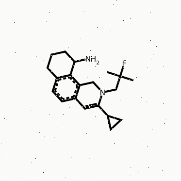 CC(C)(F)CN1Cc2c(ccc3c2C(N)CCC3)C=C1C1CC1